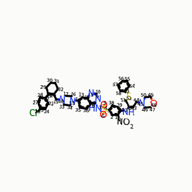 O=[N+]([O-])c1cc(S(=O)(=O)Nc2ncnc3cc(N4CCN(CC5=C(c6ccc(Cl)cc6)CCCC5)CC4)ccc23)ccc1NC(CCN1CCOCC1)CSc1ccccc1